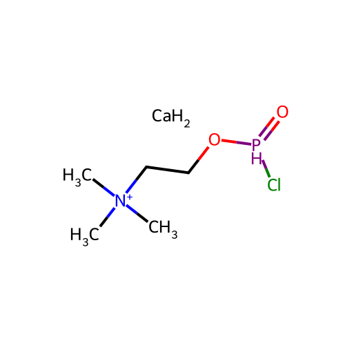 C[N+](C)(C)CCO[PH](=O)Cl.[CaH2]